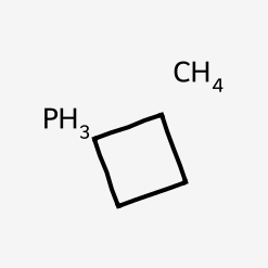 C.C1CCC1.P